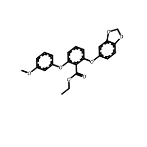 CCOC(=O)c1c(Oc2cccc(OC)c2)cccc1Oc1ccc2c(c1)OCO2